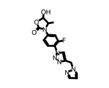 CC1C(O)OC(=O)N1c1ccc(-n2cc(Cn3cccn3)nn2)c(F)c1